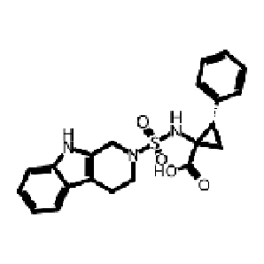 O=C(O)C1(NS(=O)(=O)N2CCc3c([nH]c4ccccc34)C2)C[C@H]1c1ccccc1